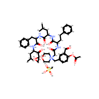 CC(=O)Oc1ccc(C[N+]2(CC(=O)NC(CCc3ccccc3)C(=O)NC(CC(C)C)C(=O)NC(Cc3ccccc3)C(=O)NC(CC(C)C)C(=O)[C@@]3(C)CO3)CCOCC2)cc1C=O.CS(=O)(=O)[O-]